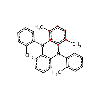 Cc1ccccc1N(c1ccccc1C)c1ccccc1N(c1ccccc1C)c1ccccc1C